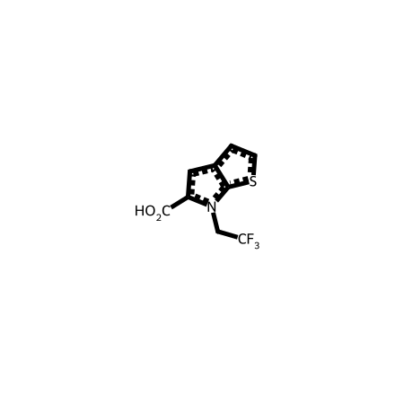 O=C(O)c1cc2ccsc2n1CC(F)(F)F